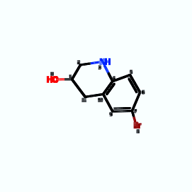 OC1CNc2ccc(Br)cc2C1